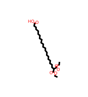 CCOC(=O)C(CCCCCCCCCCCCCCCCCCCCCC(=O)O)C(=O)OCC